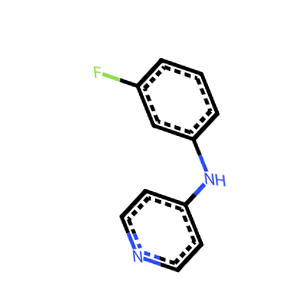 Fc1cccc(Nc2ccncc2)c1